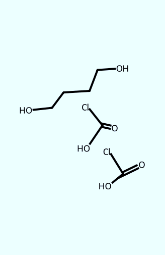 O=C(O)Cl.O=C(O)Cl.OCCCCO